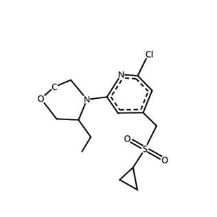 CCC1COCCN1c1cc(CS(=O)(=O)C2CC2)cc(Cl)n1